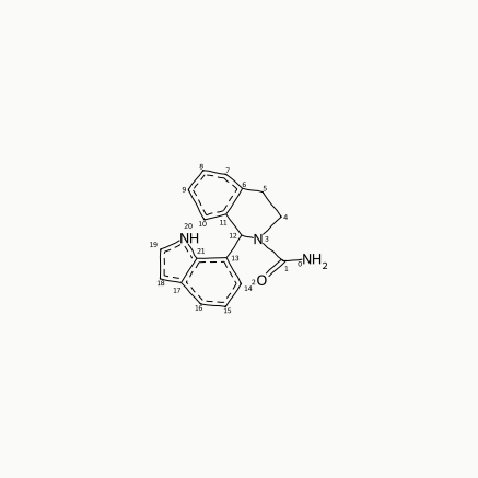 NC(=O)N1CCc2ccccc2C1c1cccc2cc[nH]c12